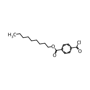 CCCCCCCCCOC(=O)c1ccc(C(=O)Cl)cc1